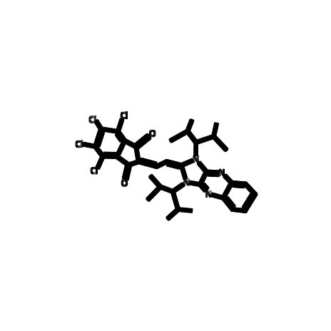 CC(C)C(C(C)C)N1C(=CC=C2C(=O)c3c(Cl)c(Cl)c(Cl)c(Cl)c3C2=O)N(C(C(C)C)C(C)C)c2nc3ccccc3nc21